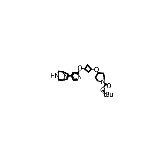 CC(C)(C)OC(=O)N1CCC(O[C@H]2C[C@H](Oc3cc(N4C5CCC4CNC5)ccn3)C2)CC1